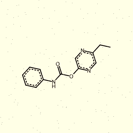 CCc1cnc(OC(=O)Nc2ccccc2)cn1